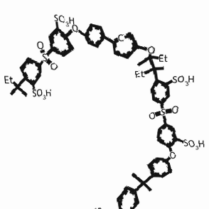 CCC(C)(C)c1ccc(S(=O)(=O)c2ccc(Oc3ccc(-c4ccc(OC(C)(CC)C(C)(CC)c5ccc(S(=O)(=O)c6ccc(Oc7ccc(C(C)(C)c8ccc(OC(C)(C)C)cc8)cc7)c(S(=O)(=O)O)c6)cc5S(=O)(=O)O)cc4)cc3)c(S(=O)(=O)O)c2)cc1S(=O)(=O)O